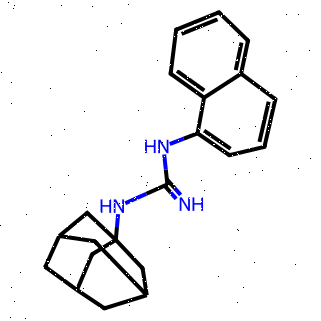 N=C(Nc1cccc2ccccc12)NC12CC3CC(CC(C3)C1)C2